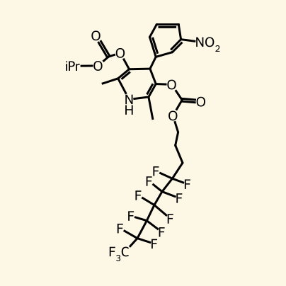 CC1=C(OC(=O)OCCCC(F)(F)C(F)(F)C(F)(F)C(F)(F)C(F)(F)C(F)(F)F)C(c2cccc([N+](=O)[O-])c2)C(OC(=O)OC(C)C)=C(C)N1